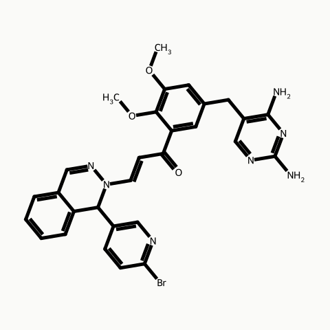 COc1cc(Cc2cnc(N)nc2N)cc(C(=O)/C=C/N2N=Cc3ccccc3C2c2ccc(Br)nc2)c1OC